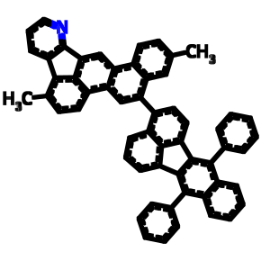 Cc1ccc2c(c1)c(-c1ccc3c4c(cccc14)-c1c-3c(-c3ccccc3)c3ccccc3c1-c1ccccc1)cc1c3ccc(C)c4c3c(cc21)-c1ncccc1-4